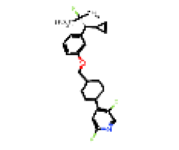 CC(F)(C(=O)O)[C@@H](c1cccc(OCC2CCC(c3cc(F)ncc3F)CC2)c1)C1CC1